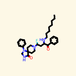 CCCCCCCCNC(CC(F)N1CCC2(CC1)C(=O)NCN2c1ccccc1)C(=O)c1ccccc1